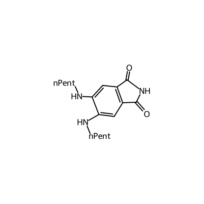 CCCCCNc1cc2c(cc1NCCCCC)C(=O)NC2=O